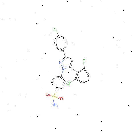 NS(=O)(=O)c1ccc(-n2nc(-c3ccc(Cl)cc3)cc2-c2c(Cl)cccc2Cl)cc1